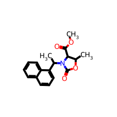 COC(=O)C1C(C)OC(=O)N1C(C)c1cccc2ccccc12